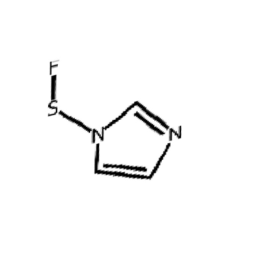 FSn1ccnc1